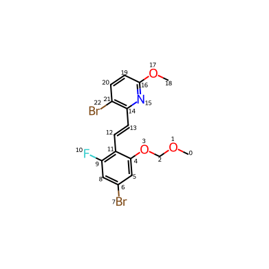 COCOc1cc(Br)cc(F)c1C=Cc1nc(OC)ccc1Br